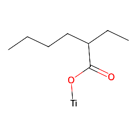 CCCCC(CC)C(=O)[O][Ti]